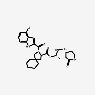 CN[C@H](C[C@@H]1CCCNC1=O)NC(=O)C1CC2(CCCCC2)CN1C(=O)c1cc2c(Cl)cccc2[nH]1